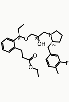 CCOC(=O)CCc1ccccc1[C@@H](CC)OC[C@H](O)CN1CCC[C@H]1Cc1ccc(C)c(F)c1